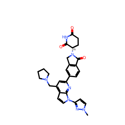 Cn1ccc(-n2ccc3c(CN4CCCC4)cc(-c4ccc5c(c4)CN([C@H]4CCC(=O)NC4=O)C5=O)nc32)n1